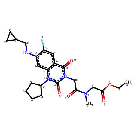 CCOC(=O)CN(C)C(=O)Cn1c(=O)c2cc(F)c(NCC3CC3)cc2n(C2CCCC2)c1=O